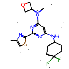 Cc1csc(-c2nc(NC3CCC(F)(F)CC3)cc(N(C)C3COC3)n2)n1